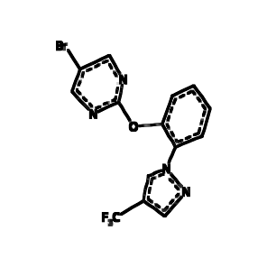 FC(F)(F)c1cnn(-c2ccccc2Oc2ncc(Br)cn2)c1